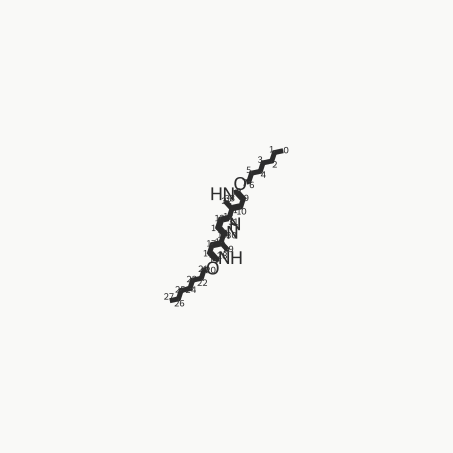 CCCCCCCOC1=CC=C(c2ccc(C3=CC=C(OCCCCCCC)NC3)nn2)CN1